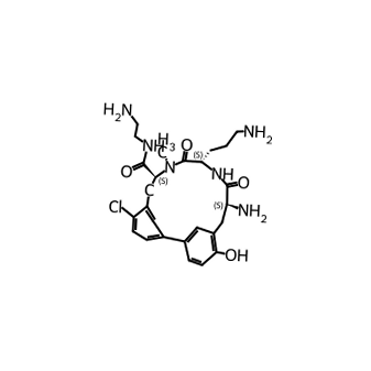 CN1C(=O)[C@H](CCCN)NC(=O)[C@@H](N)Cc2cc(ccc2O)-c2ccc(Cl)c(c2)C[C@H]1C(=O)NCCN